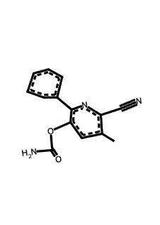 Cc1cc(OC(N)=O)c(-c2ccccc2)nc1C#N